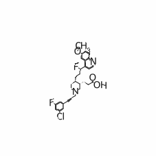 COc1ccc2nccc([C@H](F)CC[C@@H]3CCN(CC#Cc4cc(F)cc(Cl)c4)C[C@H]3CCC(=O)O)c2c1